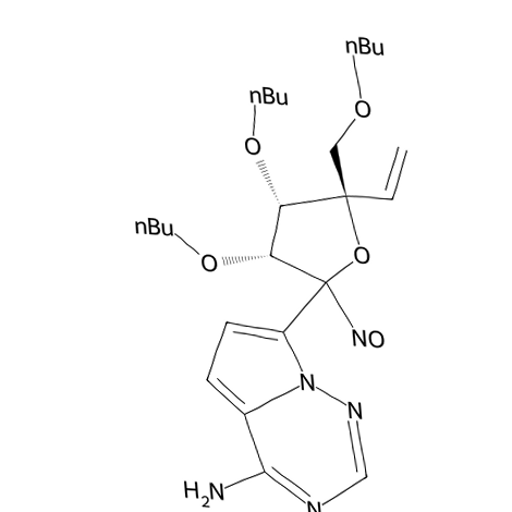 C=C[C@]1(COCCCC)OC(N=O)(c2ccc3c(N)ncnn23)[C@H](OCCCC)[C@@H]1OCCCC